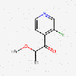 CCCOC(CC)C(=O)c1ccncc1F